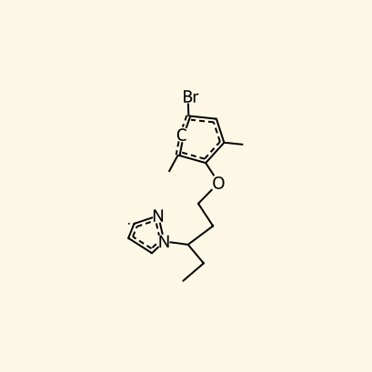 CCC(CCOc1c(C)cc(Br)cc1C)n1cc[c]n1